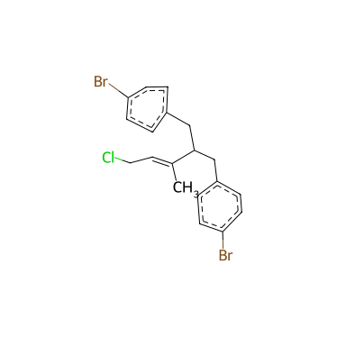 CC(=CCCl)C(Cc1ccc(Br)cc1)Cc1ccc(Br)cc1